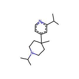 CC(C)c1cc(C2(C)CCN(C(C)C)CC2)ccn1